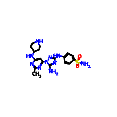 Cc1nc(NC2CCNCC2)cc(-n2nc(Nc3ccc(S(N)(=O)=O)cc3)nc2N)n1